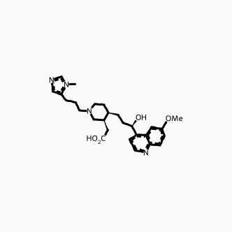 COc1ccc2nccc([C@H](O)CC[C@@H]3CCN(CCCc4cncn4C)C[C@@H]3CC(=O)O)c2c1